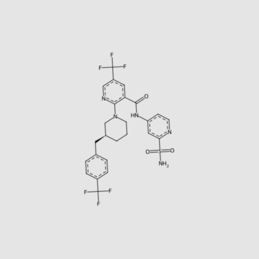 NS(=O)(=O)c1cc(NC(=O)c2cc(C(F)(F)F)cnc2N2CCC[C@@H](Cc3ccc(C(F)(F)F)cc3)C2)ccn1